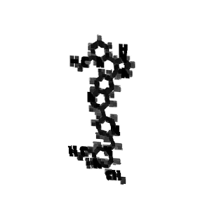 Cc1cccc(-c2[nH]cnc2-c2ccc3ncc(-c4ccc(CN5C[C@@H](C)N[C@@H](C)C5)nc4)cc3c2)n1